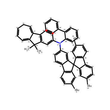 CC(C)(C)c1ccc2c(c1)C1(c3cc(N(c4ccc5c(c4)C(C)(C)C4=CC=CCC=C45)c4ccccc4-c4ccccc4)ccc3-2)c2cc(C(C)(C)C)ccc2-c2ccc(C(C)(C)C)cc21